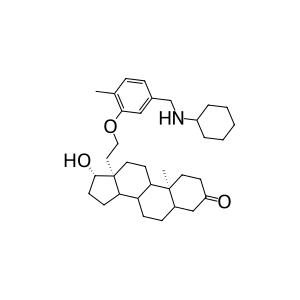 Cc1ccc(CNC2CCCCC2)cc1OCC[C@]12CCC3C(CCC4CC(=O)CC[C@@]43C)C1CC[C@@H]2O